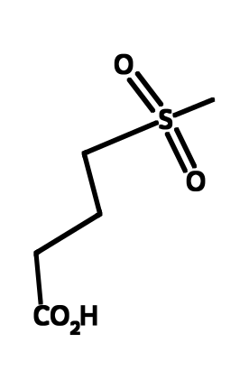 CS(=O)(=O)CCCC(=O)O